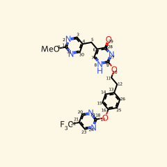 COc1ncc(Cc2c[nH]c(OCCc3ccc(Oc4ncc(C(F)(F)F)cn4)cc3)nc2=O)cn1